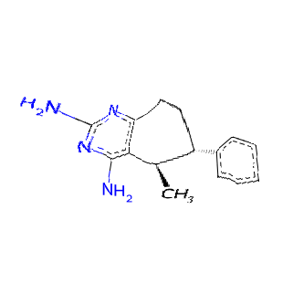 C[C@H]1c2c(N)nc(N)nc2CC[C@@H]1c1ccccc1